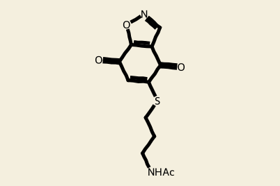 CC(=O)NCCCSC1=CC(=O)c2oncc2C1=O